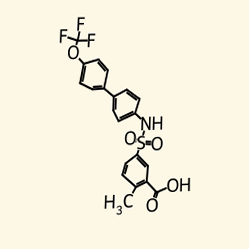 Cc1ccc(S(=O)(=O)Nc2ccc(-c3ccc(OC(F)(F)F)cc3)cc2)cc1C(=O)O